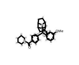 C=CCN1C2CCC1C1CCC2N1C(c1ccc(C(=O)N2CCCCC2)cc1)c1cccc(OC)c1